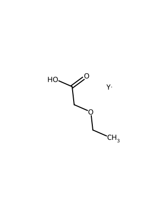 CCOCC(=O)O.[Y]